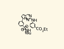 CCOC(=O)c1cccc(Nc2ncc3ccc(-c4cccc(S(=O)(=O)NC(C)(C)C)c4)n3n2)c1